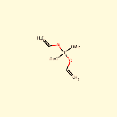 C=C[O][Ti]([O]C)([O]C)[O]C=C